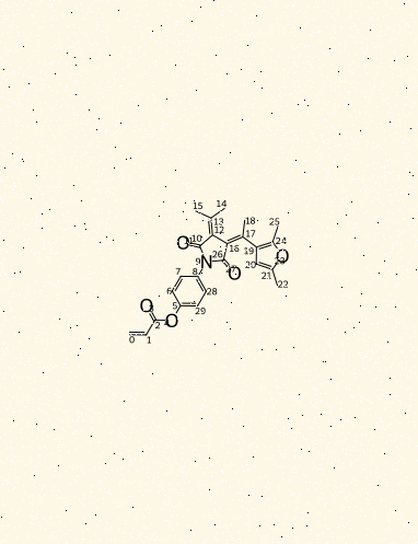 C=CC(=O)Oc1ccc(N2C(=O)C(=C(C)C)C(=C(C)c3cc(C)oc3C)C2=O)cc1